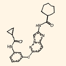 O=C(Nc1cccc(Oc2ccc3nc(NC(=O)C4CCCCC4)cn3n2)c1)C1CC1